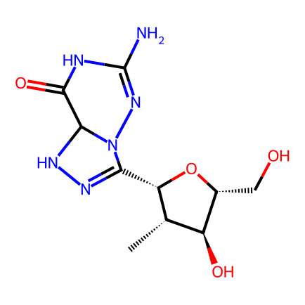 C[C@H]1[C@H](O)[C@@H](CO)O[C@H]1C1=NNC2C(=O)NC(N)=NN12